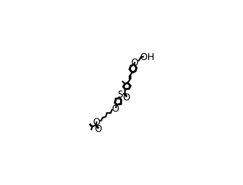 C=C(C)C(=O)OCCCCCCOc1ccc(SC(=O)c2ccc(C#Cc3ccc(OCCO)cc3)c(C)c2)cc1